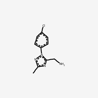 Cc1nc(CN)n(-c2ccc(Cl)cc2)n1